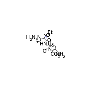 CCO/N=C(\C(=O)NC1C(=O)N2C(C(=O)O)=C(CN)CS[C@H]12)c1csc(N)n1